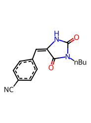 CCCCN1C(=O)NC(=Cc2ccc(C#N)cc2)C1=O